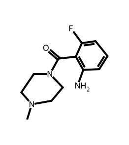 CN1CCN(C(=O)c2c(N)cccc2F)CC1